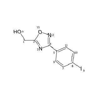 OCc1nc(-c2ccc(I)cc2)no1